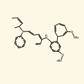 C=C/C(=C\C=C\N(c1ccccc1)C(C)/C=C\C)Nc1ccc(OCCCC)cc1C1C=CC=CC(OCCCC)=C1